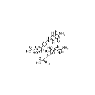 Nc1nc(=O)c2c([nH]1)NC[C@@H](CNc1ccc(C(=O)N[C@@H](CCC(=O)O)C(=O)O)cc1)N2.Nc1ncnc2c1ncn2[C@@H]1O[C@H](CSCC[C@H](N)C(=O)O)[C@@H](O)[C@H]1O